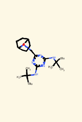 CC(C)(C)C(C)(C)Nc1nc(NC(C)(C)C(C)(C)C)nc(N2CC3CCC(CC3)C2)n1